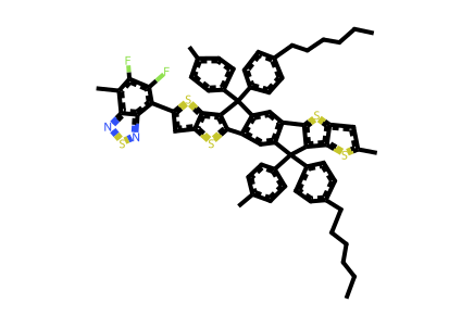 CCCCCCc1ccc(C2(c3ccc(C)cc3)c3cc4c(cc3-c3sc5cc(C)sc5c32)C(c2ccc(C)cc2)(c2ccc(CCCCCC)cc2)c2c-4sc3cc(-c4c(F)c(F)c(C)c5nsnc45)sc23)cc1